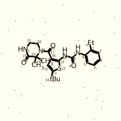 CCc1ccccc1NC(=O)Nc1sc(C(C)(C)C)cc1C(=O)N1CCNC(=O)C1(C)C